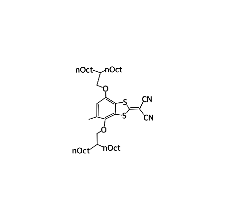 CCCCCCCCC(CCCCCCCC)COc1cc(C)c(OCC(CCCCCCCC)CCCCCCCC)c2c1SC(=C(C#N)C#N)S2